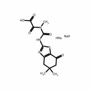 CN(C(=O)Nc1nc2c(s1)C(=O)CC(C)(C)C2)C(=O)C(=O)O.[NaH].[NaH]